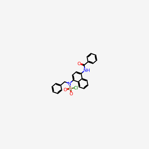 O=C(Nc1ccc(N(Cc2ccccc2)S(=O)(=O)Cl)c2ccccc12)c1ccccc1